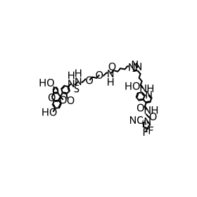 N#C[C@@H]1CC(F)(F)CN1C(=O)CNC(=O)c1ccnc2c(NC(O)CCCc3cn(CCCCC(=O)NCCOCCOCCNC(=S)Nc4ccc5c(c4)C(=O)OC54c5ccc(O)cc5Oc5cc(O)ccc54)nn3)cccc12